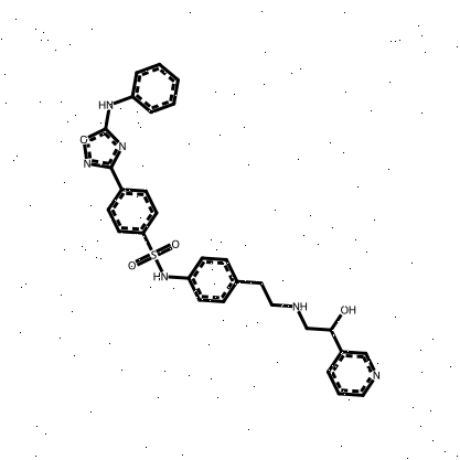 O=S(=O)(Nc1ccc(CCNCC(O)c2cccnc2)cc1)c1ccc(-c2noc(Nc3ccccc3)n2)cc1